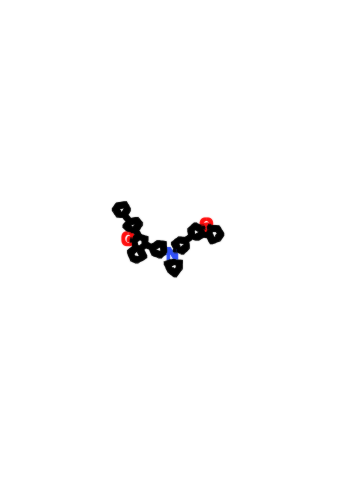 c1ccc(-c2ccc3c(c2)oc2c4ccccc4c(-c4ccc(N(c5ccccc5)c5ccc(-c6ccc7oc8ccccc8c7c6)cc5)cc4)cc32)cc1